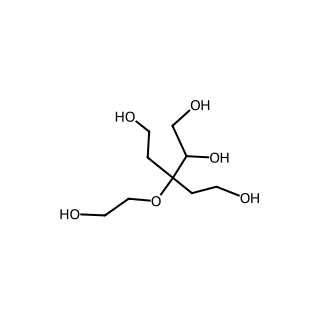 OCCOC(CCO)(CCO)C(O)CO